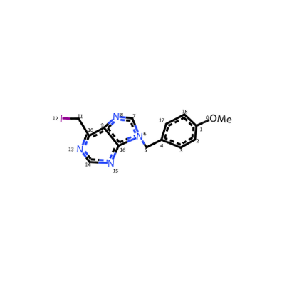 COc1ccc(Cn2cnc3c(CI)ncnc32)cc1